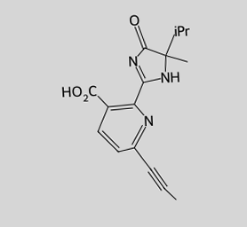 CC#Cc1ccc(C(=O)O)c(C2=NC(=O)C(C)(C(C)C)N2)n1